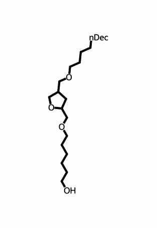 CCCCCCCCCCCCCCOCC1COC(COCCCCCCO)C1